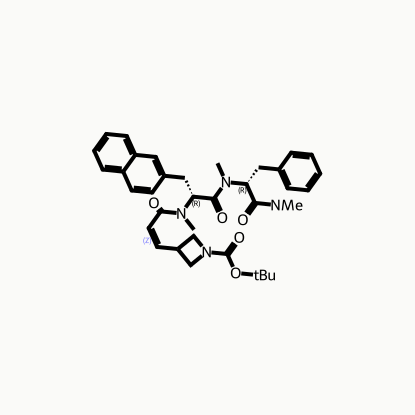 CNC(=O)[C@@H](Cc1ccccc1)N(C)C(=O)[C@@H](Cc1ccc2ccccc2c1)N(C)C(=O)/C=C\C1CN(C(=O)OC(C)(C)C)C1